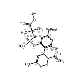 C=C(C)C1CCC(C)=CC1c1c(O)cc(CCCCC)cc1OP(=O)(NC(C)(C)C(=O)OC(C)C)C(=O)OCC